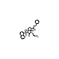 C=CC[C@H]1C(=O)N(S(=O)(=O)c2cccc3cccnc23)[C@H]2CCN(C(=O)OCc3ccccc3)[C@H]12